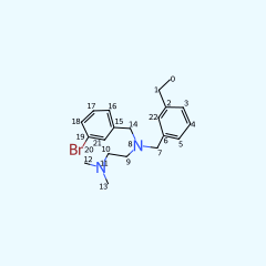 CCc1cccc(CN(CCN(C)C)Cc2cccc(Br)c2)c1